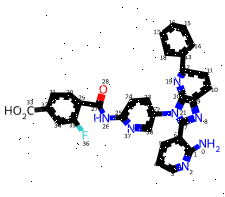 Nc1ncccc1-c1nc2ccc(-c3ccccc3)nc2n1-c1ccc(NC(=O)c2ccc(C(=O)O)cc2F)nc1